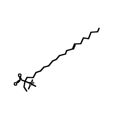 CCCCCCC=CCCCCCCCCCCCC(CC)(P(=O)=O)[N+](C)(C)C